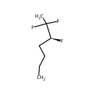 [CH2]CCC[C@H](F)C(C)(F)F